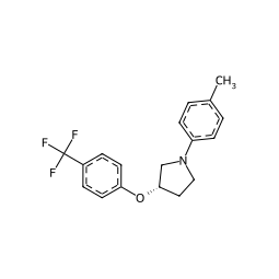 Cc1ccc(N2CC[C@H](Oc3ccc(C(F)(F)F)cc3)C2)cc1